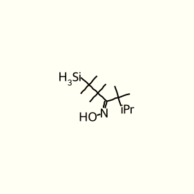 CC(C)C(C)(C)C(=NO)C(C)(C)C(C)(C)[SiH3]